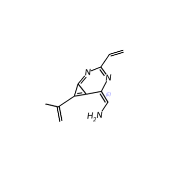 C=Cc1nc2c(/c(=C\N)n1)=C2C(=C)C